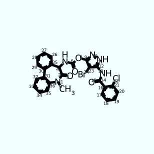 CN1C(=O)C(NC(=O)Oc2n[nH]c(NC(=O)c3ccccc3Cl)c2Br)c2ccccc2-c2ccccc21